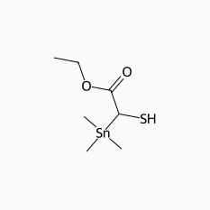 CCOC(=O)[CH](S)[Sn]([CH3])([CH3])[CH3]